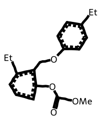 CCc1ccc(OCc2c(CC)cccc2OC(=O)OC)cc1